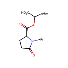 CCCCCCC(OC(=O)[C@@H]1CCC(=O)N1C(C)C)C(=O)O